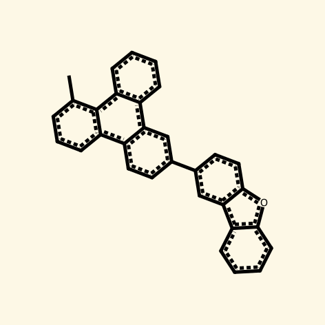 Cc1cccc2c3ccc(-c4ccc5oc6ccccc6c5c4)cc3c3ccccc3c12